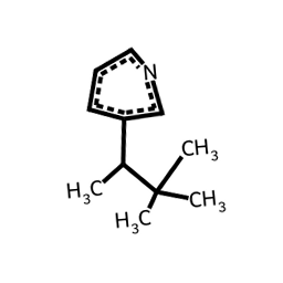 CC(c1cccnc1)C(C)(C)C